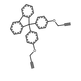 C#CCOc1ccc(C2(c3ccc(OCC#C)cc3)c3ccccc3-c3ccccc32)cc1